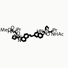 COC(=O)N[C@H](C(=O)N1CCCC1c1nc2ccc3cc(C=Cc4ccc5c(ccc6nc([C@@H]7CCCN7C(=O)[C@@H](NC(C)=O)C(C)C)[nH]c65)c4)ccc3c2[nH]1)C(C)C